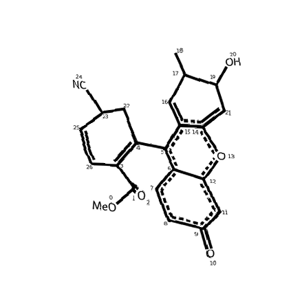 COC(=O)C1=C(c2c3ccc(=O)cc-3oc3c2=CC(C)C(O)C=3)CC(C#N)C=C1